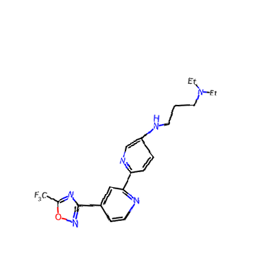 CCN(CC)CCCNc1ccc(-c2cc(-c3noc(C(F)(F)F)n3)ccn2)nc1